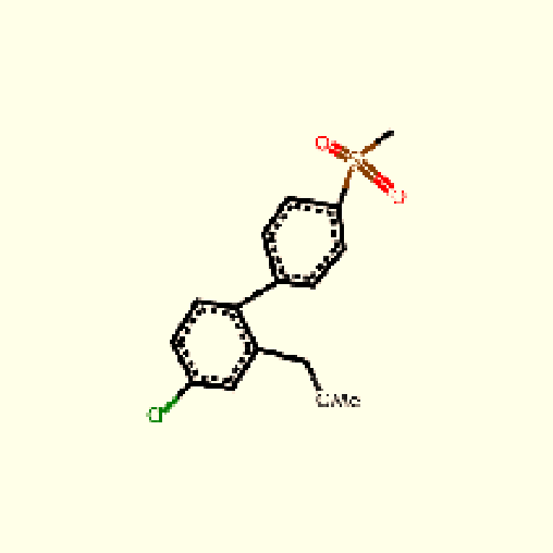 COCc1cc(Cl)ccc1-c1ccc(S(C)(=O)=O)cc1